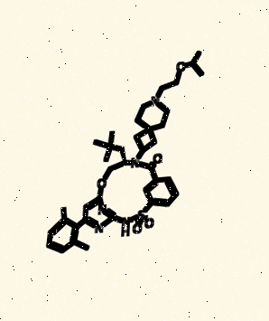 Cc1cccc(C)c1-c1cc2nc(n1)NS(=O)(=O)c1cccc(c1)C(=O)N(C1CC3(CCN(CCOC(C)C)CC3)C1)[C@H](CC(C)(C)C)CO2